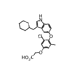 Cc1cc(OCC(=O)O)cc(Cl)c1Oc1ccc2[nH]cc(CC3CCCCC3)c2c1